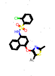 CC(=O)c1sc(C)nc1Oc1ccc(NS(=O)(=O)c2ccccc2Cl)c2ccccc12